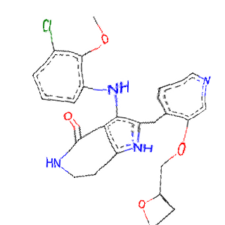 COc1c(Cl)cccc1Nc1c(-c2ccncc2OCC2CCO2)[nH]c2c1C(=O)NCC2